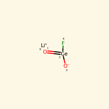 [Li+].[O]=[Ge]([O-])[F]